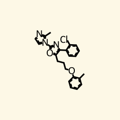 Cc1ccccc1OCCCc1oc(-n2ccnc2C)nc1-c1ccccc1Cl